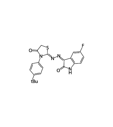 CC(C)(C)c1ccc(N2C(=O)CSC2=NN=C2C(=O)Nc3ccc(F)cc32)cc1